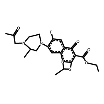 CCOC(=O)c1c2n(c3cc(N4CCN(CC(C)=O)C(C)C4)c(F)cc3c1=O)C(C)S2